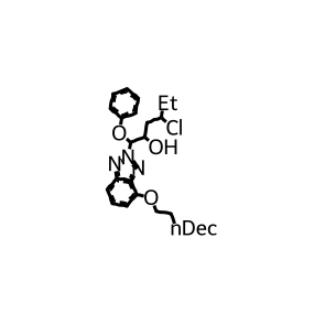 CCCCCCCCCCCCOc1cccc2nn(C(Oc3ccccc3)C(O)CC(Cl)CC)nc12